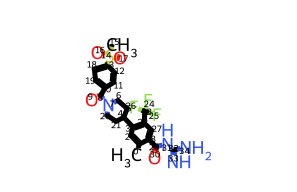 Cc1cc(C2CCN(C(=O)c3ccc(S(C)(=O)=O)cc3)CC2)c(C(F)(F)F)cc1C(=O)NC(=N)N